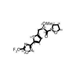 CON(Cc1ccc(-c2noc(C(F)(F)F)n2)s1)C(=O)N1CCCO1